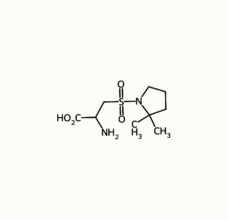 CC1(C)CCCN1S(=O)(=O)CC(N)C(=O)O